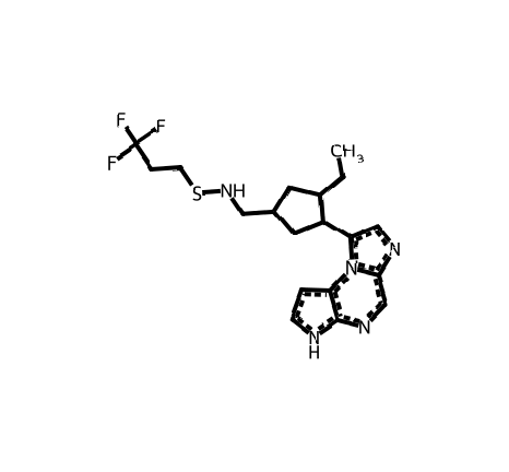 CCC1CC(CNSCCC(F)(F)F)CC1c1cnc2cnc3[nH]ccc3n12